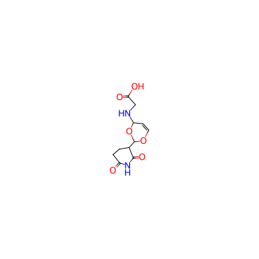 O=C(O)CNC1C=COC(C2CCC(=O)NC2=O)O1